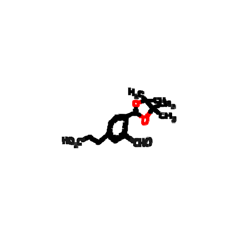 CC1(C)OB(c2ccc(CCC(=O)O)cc2C=O)OC1(C)C